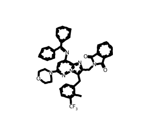 Cc1c(Cc2c(CN3C(=O)c4ccccc4C3=O)nc3c(N=C(c4ccccc4)c4ccccc4)cc(N4CCOCC4)nn23)cccc1C(F)(F)F